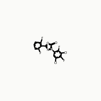 O=c1oc(-c2c(F)cccc2F)nn1-c1cc(Cl)c(F)c(Cl)c1F